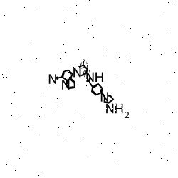 C[C@H]1C[C@@H](NCc2ccc(N3CCC(N)C3)cc2)CN(c2ccc(C#N)c3ncccc23)C1